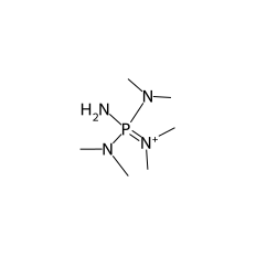 CN(C)P(N)(N(C)C)=[N+](C)C